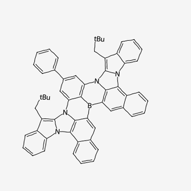 CC(C)(C)Cc1c2ccccc2n2c3c4ccccc4cc4c3n(c12)-c1cc(-c2ccccc2)cc2c1B4c1cc3ccccc3c3c1n-2c1c(CC(C)(C)C)c2ccccc2n31